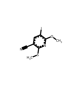 COc1nc(SC)c(C#N)cc1I